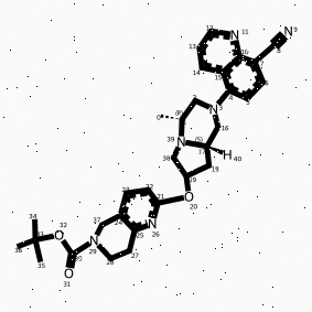 C[C@@H]1CN(c2ccc(C#N)c3ncccc23)C[C@@H]2CC(Oc3ccc4c(n3)CCN(C(=O)OC(C)(C)C)C4)CN21